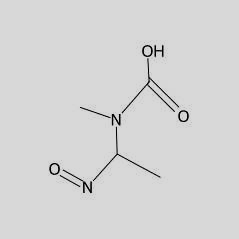 CC(N=O)N(C)C(=O)O